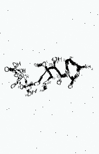 CO[C@@](COP(=O)(O)OP(=O)(O)OP(=O)(O)O)(CSC)[C@@H](O)[C@@H](Cl)n1ccc(N)nc1=O